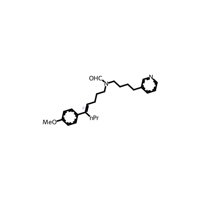 CCC/C(=C\CCCN(C=O)CCCCc1cccnc1)c1ccc(OC)cc1